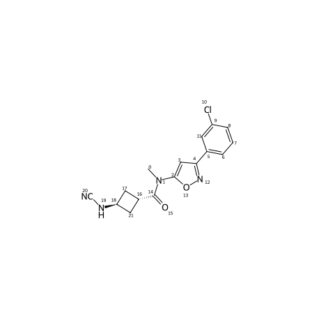 CN(c1cc(-c2cccc(Cl)c2)no1)C(=O)[C@H]1C[C@H](NC#N)C1